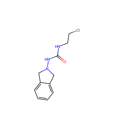 O=C(NCCCl)NN1Cc2ccccc2C1